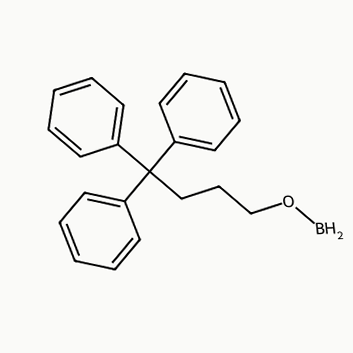 BOCCCC(c1ccccc1)(c1ccccc1)c1ccccc1